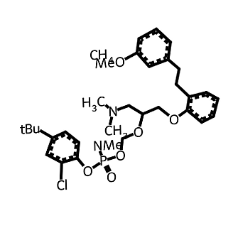 C.CNP(=O)(OCOC(COc1ccccc1CCc1cccc(OC)c1)CN(C)C)Oc1ccc(C(C)(C)C)cc1Cl